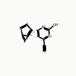 C#Cc1ccnc(O)n1.c1cc2cc-2c1